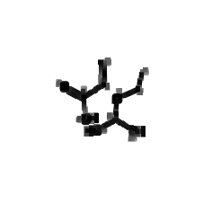 C=CC(=O)O.CCOC(O)O